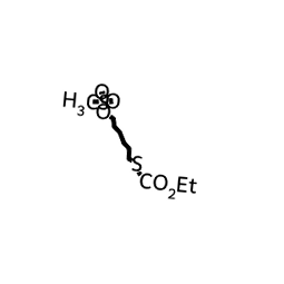 CCOC(=O)CSCCCCCCOS(C)(=O)=O